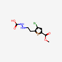 COC(=O)c1cc(Br)c(CCNNC(=O)O)s1